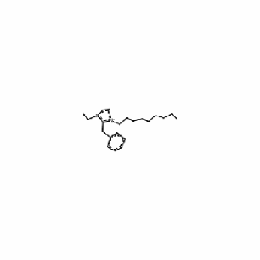 CCCCCCCCC[n+]1ccn(CC)c1Cc1ccccc1